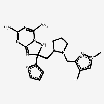 Cn1cc(Br)c(CN2CCCC2CC2(c3ccco3)N=C3N=C(N)N=C(N)N3N2)n1